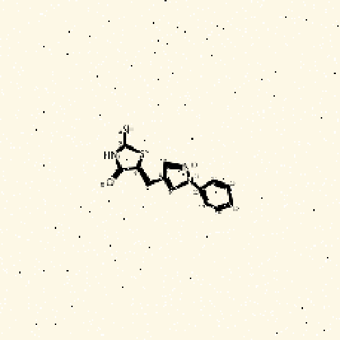 O=C1NC(S)S/C1=C\c1cnn(-c2ccccc2)c1